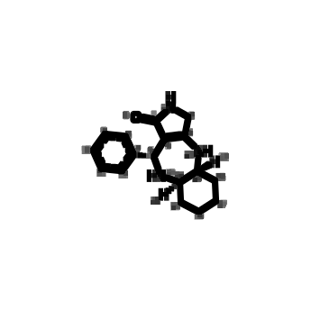 O=C1NCC2=C1[C@@H](c1ccccc1)N[C@@H]1CCCC[C@H]1N2